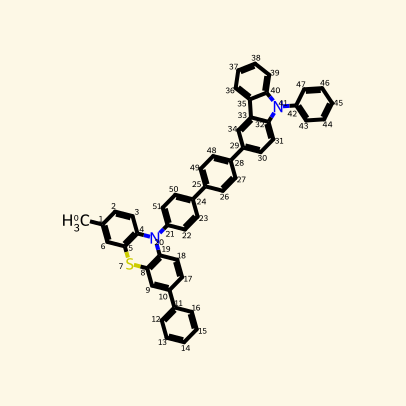 Cc1ccc2c(c1)Sc1cc(-c3ccccc3)ccc1N2c1ccc(-c2ccc(-c3ccc4c(c3)c3ccccc3n4-c3ccccc3)cc2)cc1